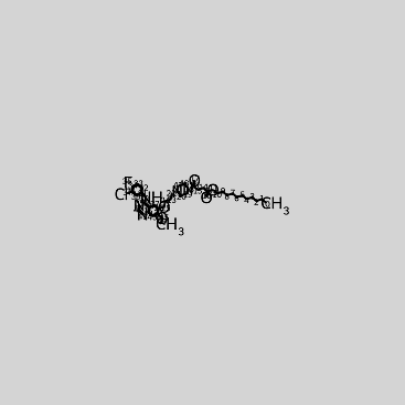 CCCCCCCCCCCOC(=O)CCC(=O)N1CCN(CCCOc2cc3c(Nc4ccc(F)c(Cl)c4)ncnc3cc2OC)CC1